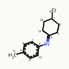 CCC1CCC(=Nc2ccc(C)cc2)CC1